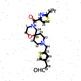 CC(C)c1nc(C(=O)N2CCOC3(CCN(Cc4cc(CC=O)cs4)CC3)C2)cs1